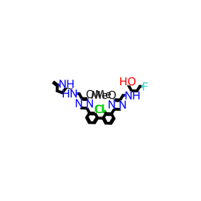 C=C1CC[C@@H](CNCc2ncc(-c3cccc(-c4cccc(-c5cnc(CNC(CO)CCF)c(OC)n5)c4Cl)c3Cl)nc2OC)N1